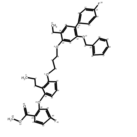 CCCc1c(OCCCOc2cc(OCc3ccccc3)c(-c3ccc(F)cc3)cc2CC)cccc1Oc1cc(F)ccc1C(=O)OC